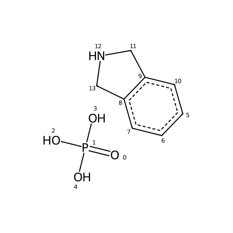 O=P(O)(O)O.c1ccc2c(c1)CNC2